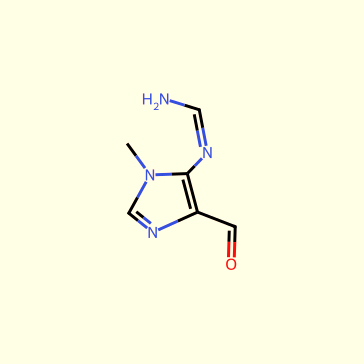 Cn1cnc(C=O)c1/N=C\N